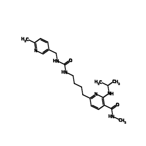 CNC(=O)c1ccc(CCCCNC(=O)NCc2ccc(C)nc2)nc1NC(C)C